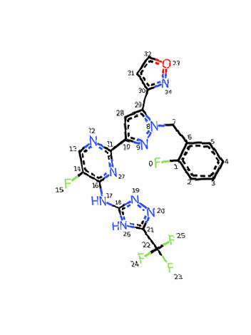 Fc1ccccc1Cn1nc(-c2ncc(F)c(Nc3nnc(C(F)(F)F)[nH]3)n2)cc1-c1ccon1